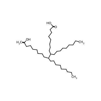 C=C(O)CCCCCCCC(CCCCCCCCC)C(CCCCCCCCC)CCCCCCCC(=O)O